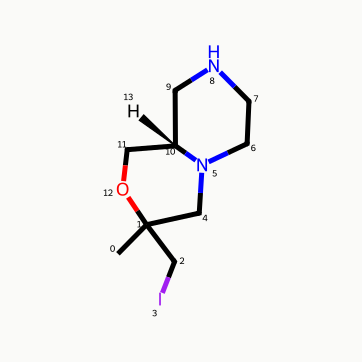 CC1(CI)CN2CCNC[C@H]2CO1